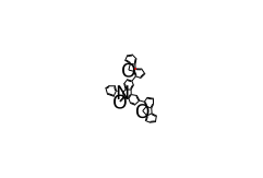 O=c1c2ccc(-c3cccc4c3oc3ccccc34)cc2c2cc(-c3cccc4c3oc3ccccc34)ccc2n1-c1ccccc1